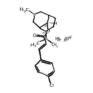 Br.Br.CN1CC2CC[C@@H](N(C)C)C(C1)[C@@H]2OC(=O)C=Cc1ccc(Cl)cc1